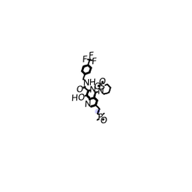 CP(C)(=O)/C=C/c1cnc2c(O)c(C(=O)NCc3ccc(C(F)(F)F)cc3)nc(N3CCCCS3(=O)=O)c2c1